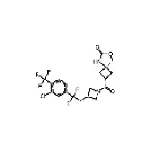 O=C1N[C@]2(CO1)C[C@@H](C(=O)N1CC(CC(F)(F)c3ccc(C(F)(F)F)c(Cl)c3)C1)C2